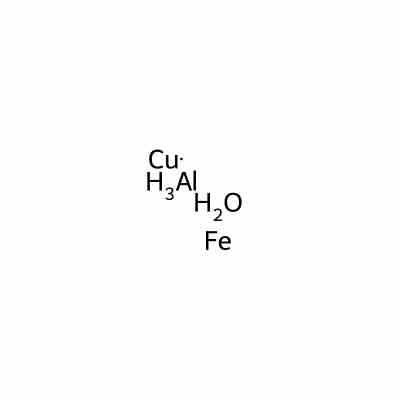 O.[AlH3].[Cu].[Fe]